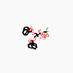 CC(COC(=O)C12CC3CC(C1)C(O)C(C3)C2)(COC(=O)C12CC3CC(C1)C(O)C(C3)C2)C(=O)OCC(F)(F)S(=O)(=O)O